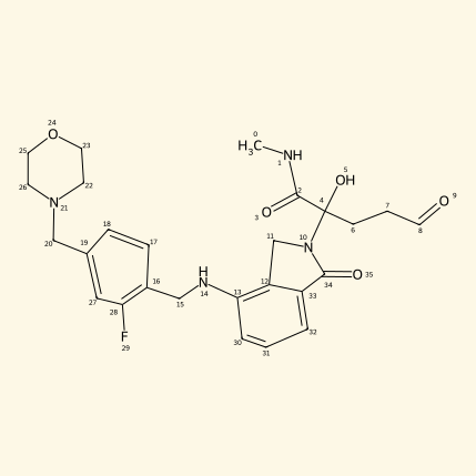 CNC(=O)C(O)(CCC=O)N1Cc2c(NCc3ccc(CN4CCOCC4)cc3F)cccc2C1=O